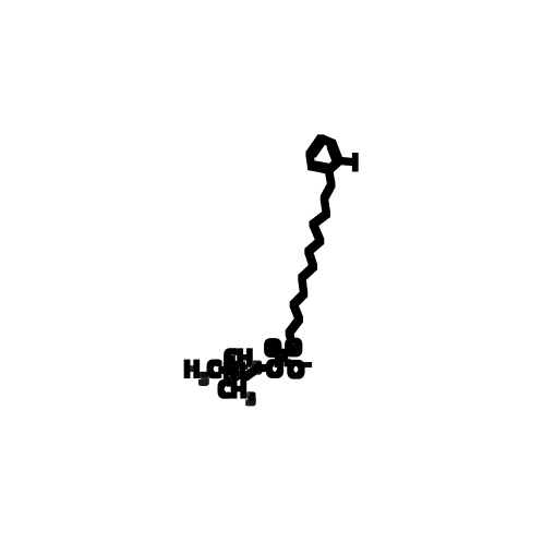 C[N+](C)(C)CCOP(=O)([O-])OCCCCCCCCCCCCc1ccccc1I